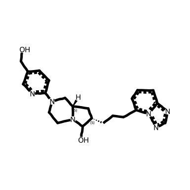 OCc1ccc(N2CCN3C(O)[C@@H](CCCc4cccc5ncnn45)C[C@H]3C2)nc1